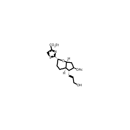 CCOC(=O)c1csc([C@H]2CC[C@@H]3[C@@H](/C=C/CO)[C@H](OC(C)=O)C[C@@H]3O2)n1